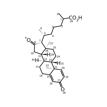 CC(CCC[C@@H](C)[C@H]1C(=O)C[C@H]2[C@@H]3CCC4=CC(=O)C=C[C@]4(C)[C@H]3CC[C@]12C)C(=O)O